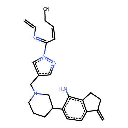 C=C/N=C(\C=C/CC#N)n1cc(CN2CCCC(c3ccc4c(c3N)CCC4=C)C2)cn1